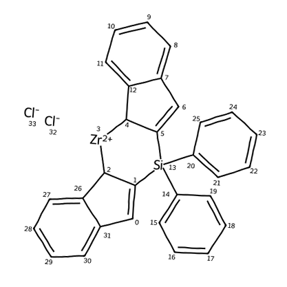 C1=C2[CH]([Zr+2][CH]3C(=Cc4ccccc43)[Si]2(c2ccccc2)c2ccccc2)c2ccccc21.[Cl-].[Cl-]